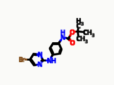 CC(C)(C)OC(=O)Nc1ccc(Nc2ncc(Br)cn2)cc1